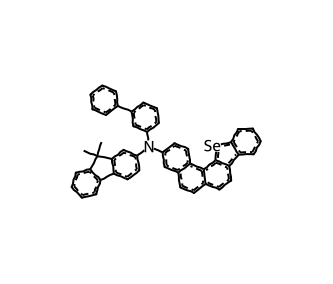 CC1(C)c2ccccc2-c2ccc(N(c3cccc(-c4ccccc4)c3)c3ccc4c(ccc5ccc6c7ccccc7[se]c6c54)c3)cc21